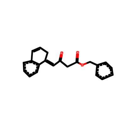 O=C(C=C1CC=Cc2ccccc21)CC(=O)OCc1ccccc1